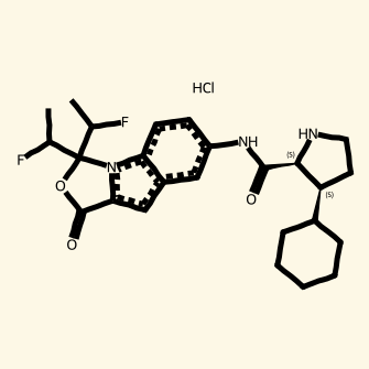 CC(F)C1(C(C)F)OC(=O)c2cc3cc(NC(=O)[C@H]4NCC[C@H]4C4CCCCC4)ccc3n21.Cl